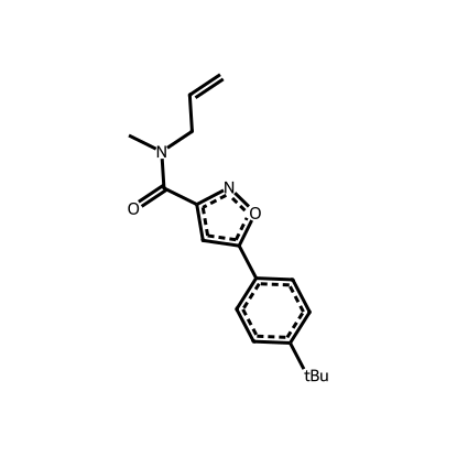 C=CCN(C)C(=O)c1cc(-c2ccc(C(C)(C)C)cc2)on1